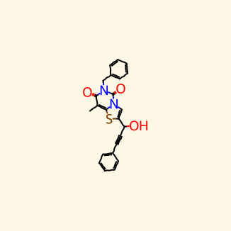 Cc1c(=O)n(Cc2ccccc2)c(=O)n2cc(C(O)C#Cc3ccccc3)sc12